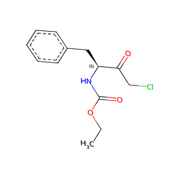 CCOC(=O)N[C@@H](Cc1ccccc1)C(=O)CCl